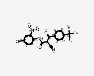 N#CC(C(=O)Nc1ccc(Cl)cc1[N+](=O)[O-])C(=O)c1ccc(C(F)(F)F)cc1